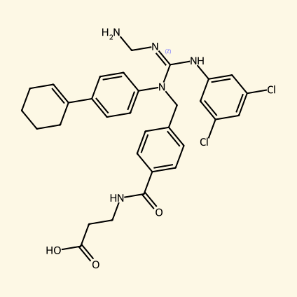 NC/N=C(/Nc1cc(Cl)cc(Cl)c1)N(Cc1ccc(C(=O)NCCC(=O)O)cc1)c1ccc(C2=CCCCC2)cc1